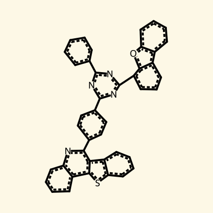 c1ccc(-c2nc(-c3ccc(-c4nc5ccccc5c5sc6ccccc6c45)cc3)nc(-c3cccc4c3oc3ccccc34)n2)cc1